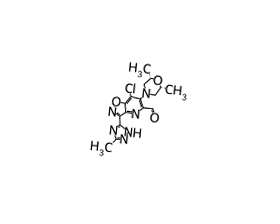 Cc1n[nH]c(-c2noc3c(Cl)c(N4C[C@@H](C)O[C@@H](C)C4)c(C=O)nc23)n1